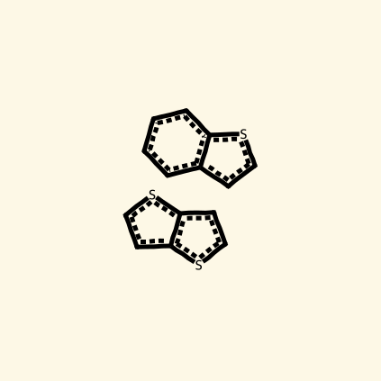 c1cc2sccc2s1.c1ccc2sccc2c1